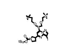 CC(C)(C)OC(=O)N1CCC(c2cc(N(COCC[Si](C)(C)C)COCC[Si](C)(C)C)n3ncc(I)c3n2)C1